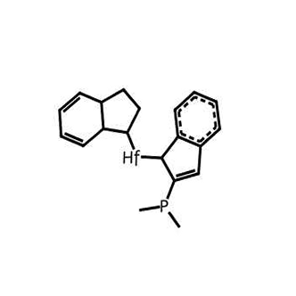 CP(C)C1=Cc2ccccc2[CH]1[Hf][CH]1CCC2C=CC=CC21